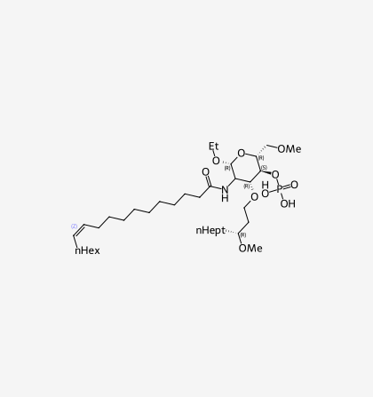 CCCCCC/C=C\CCCCCCCCCC(=O)NC1[C@H](OCC)O[C@H](COC)[C@@H](OP(=O)(O)O)[C@@H]1OCC[C@@H](CCCCCCC)OC